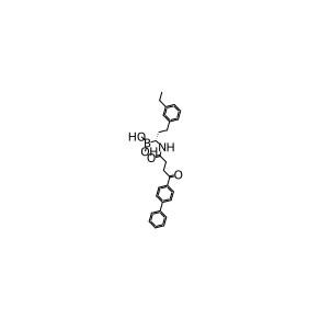 CCc1cccc(CC[C@H](NC(=O)CCC(=O)c2ccc(-c3ccccc3)cc2)B(O)O)c1